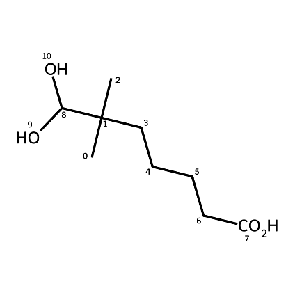 CC(C)(CCCCC(=O)O)C(O)O